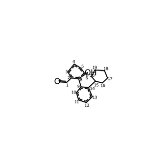 O=Cc1cccc(O)c1-c1ccccc1C1CCCCC1